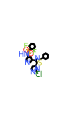 O=S(=O)(Nc1cncc(-c2nc(-c3ccccc3)sc2-c2ccnc(Cl)n2)c1)c1c(F)cccc1F